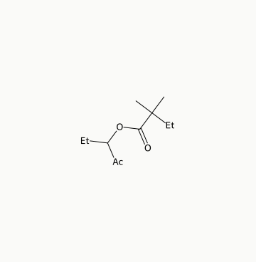 CCC(OC(=O)C(C)(C)CC)C(C)=O